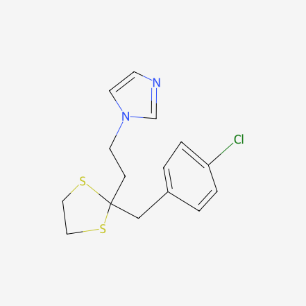 Clc1ccc(CC2(CCn3ccnc3)SCCS2)cc1